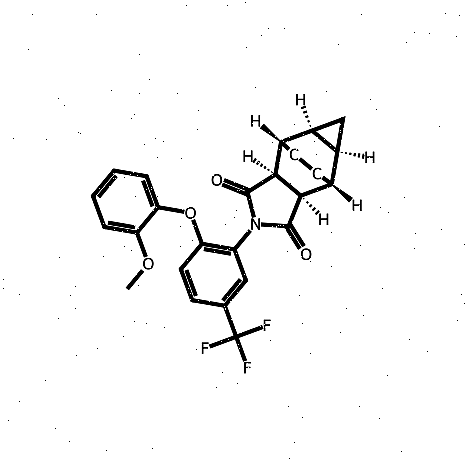 COc1ccccc1Oc1ccc(C(F)(F)F)cc1N1C(=O)[C@@H]2[C@@H]3CC[C@@H]([C@H]4C[C@H]43)[C@@H]2C1=O